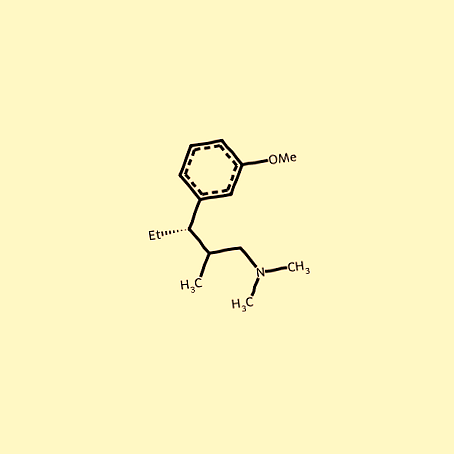 CC[C@H](c1cccc(OC)c1)C(C)CN(C)C